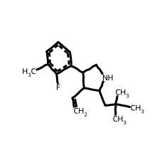 C=CC1C(CC(C)(C)C)NCC1c1cccc(C)c1F